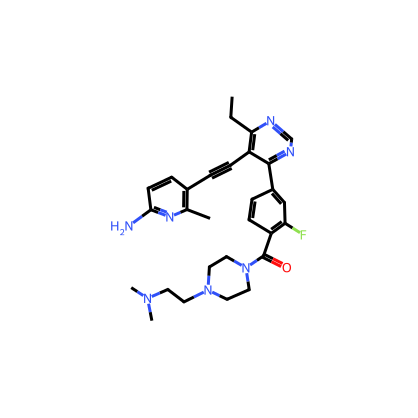 CCc1ncnc(-c2ccc(C(=O)N3CCN(CCN(C)C)CC3)c(F)c2)c1C#Cc1ccc(N)nc1C